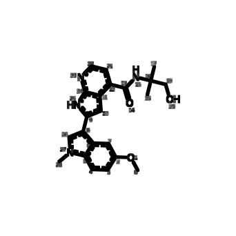 COc1ccc2c(c1)c(-c1cc3c(C(=O)NC(C)(C)CO)ccnc3[nH]1)cn2C